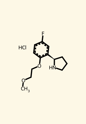 COCCOc1ccc(F)cc1[C@H]1CCCN1.Cl